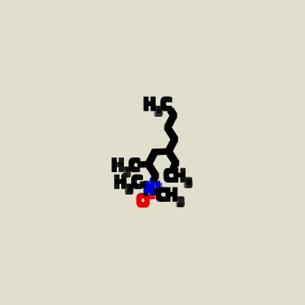 CCCCC(CC)CC(C)C[N+](C)(C)[O-]